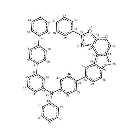 c1ccc(-c2ccc(-c3cccc(N(c4ccccc4)c4ccc(-c5ccc6oc7ccc8oc(-c9ccccc9)nc8c7c6c5)cc4)c3)cc2)cc1